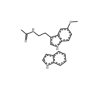 COc1ccc2[nH]cc(CCNC(C)=O)c2c1.c1ccc2[nH]ccc2c1